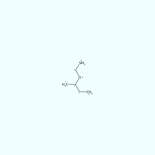 CCC(C)O[CH][SiH3]